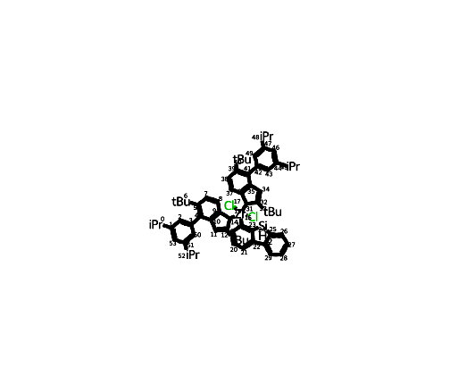 CC(C)c1cc(-c2c(C(C)(C)C)ccc3c2C=C(C(C)(C)C)[CH]3[Zr]([Cl])([Cl])([c]2cccc3c2[SiH2]c2ccccc2-3)[CH]2C(C(C)(C)C)=Cc3c2ccc(C(C)(C)C)c3-c2cc(C(C)C)cc(C(C)C)c2)cc(C(C)C)c1